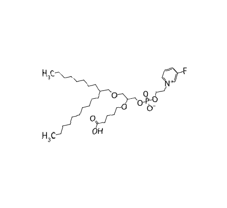 CCCCCCCCCCC(CCCCCCCC)COCC(COP(=O)([O-])OCC[n+]1cccc(F)c1)OCCCCC(=O)O